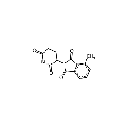 Cc1cccc2c1C(=O)C(C1CCC(=O)NC1=O)C2=O